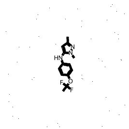 Cc1cc(Nc2ccc(OC(C)(F)F)cc2)n(C)n1